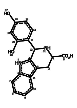 O=C(O)C1Cc2c([nH]c3ccccc23)C(c2ccc(O)cc2O)N1